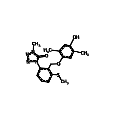 CSc1cccc(-n2nnn(C)c2=O)c1COc1cc(C)c(O)cc1C